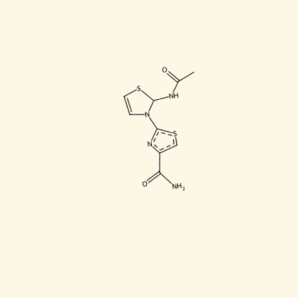 CC(=O)NC1SC=CN1c1nc(C(N)=O)cs1